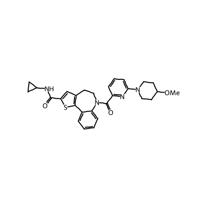 COC1CCN(c2cccc(C(=O)N3CCc4cc(C(=O)NC5CC5)sc4-c4ccccc43)n2)CC1